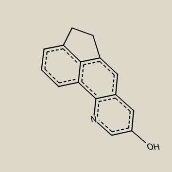 Oc1cnc2c(c1)cc1c3c(cccc32)CC1